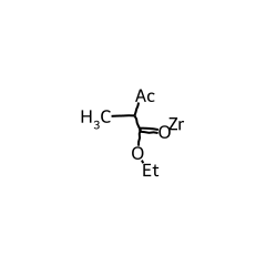 CCOC(=O)C(C)C(C)=O.[Zr]